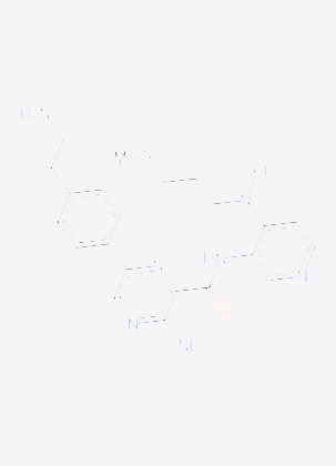 COCCCN(C)c1ccncc1NC(=O)c1nc(-c2ccc(CCN)cc2)cnc1N